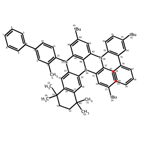 Cc1cc(-c2ccccc2)ccc1N1c2cc3c(cc2B2c4cc(C(C)(C)C)ccc4N(c4ccc(C(C)(C)C)cc4-c4ccccc4)c4cc(C(C)(C)C)cc1c42)C(C)(C)CCC3(C)C